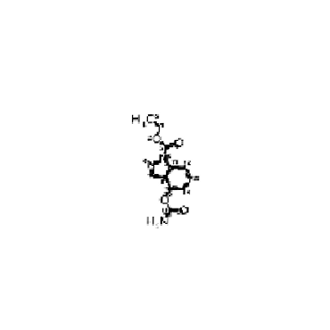 CCOC(=O)n1ncc2c(OC(N)=O)cccc21